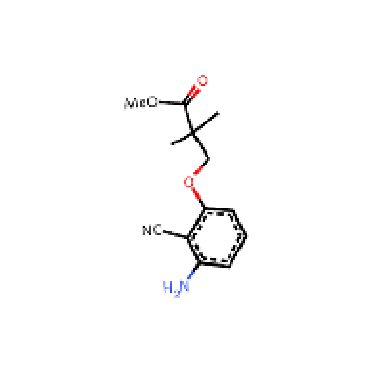 COC(=O)C(C)(C)COc1cccc(N)c1C#N